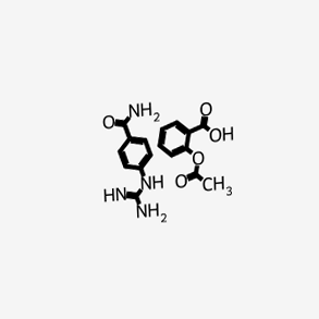 CC(=O)Oc1ccccc1C(=O)O.N=C(N)Nc1ccc(C(N)=O)cc1